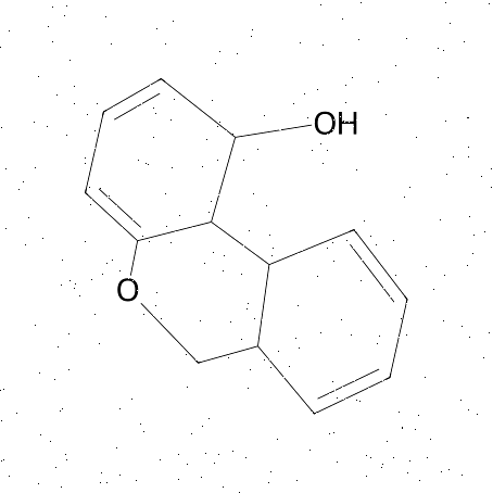 OC1C=CC=C2OCC3C=CC=CC3C21